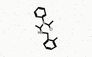 Cc1ccccc1CNC(C)N(c1ccccc1)C(C)Cl